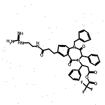 N=C(N)NCCNC(=O)CCc1ccc2c(c1)C(=O)N(C(CC(=O)OC(=O)C(F)(F)F)c1ccccc1)C(c1ccccc1)C(=O)N2Cc1ccccc1